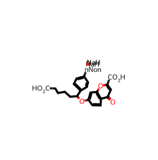 CCCCCCCCCc1ccc(C(CCCCC(=O)O)Oc2ccc3c(=O)cc(C(=O)O)oc3c2)cc1.[NaH].[NaH]